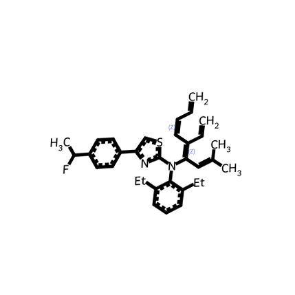 C=C/C=C\C(C=C)=C(\C=C(C)C)N(c1nc(-c2ccc(C(C)F)cc2)cs1)c1c(CC)cccc1CC